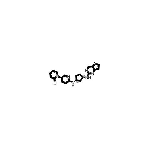 O=c1ccccn1-c1ccc(N[C@H]2CC[C@H](Nc3ncc4sccc4n3)C2)nc1